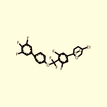 CCC12CCC(c3cc(F)c(C(F)(F)Oc4ccc(-c5cc(F)c(F)c(F)c5)cc4)c(F)c3)(OC1)OC2